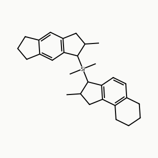 CC1Cc2cc3c(cc2C1[Si](C)(C)C1c2ccc4c(c2CC1C)CCCC4)CCC3